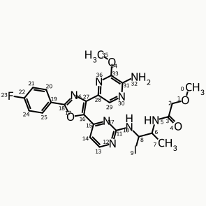 COCC(=O)NC(C)C(I)Nc1nccc(-c2oc(-c3ccc(F)cc3)nc2-c2cnc(N)c(OC)n2)n1